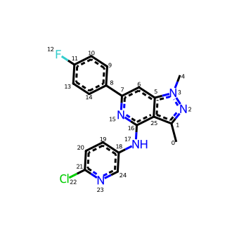 Cc1nn(C)c2cc(-c3ccc(F)cc3)nc(Nc3ccc(Cl)nc3)c12